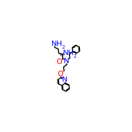 NCCC[C@@H](N)C(=O)N(CCCOc1ccc2ccccc2n1)CCc1ccccc1